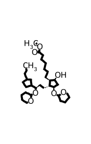 CCCC1CCC([C@@H](CC[C@@H]2[C@@H](CCCCCCC(=O)OC)[C@@H](O)C[C@H]2OC2CCCCO2)OC2CCCCO2)C1